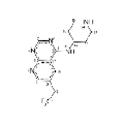 FC(F)(F)Cc1cnc2ncnc(NC3CCNCC3)c2c1